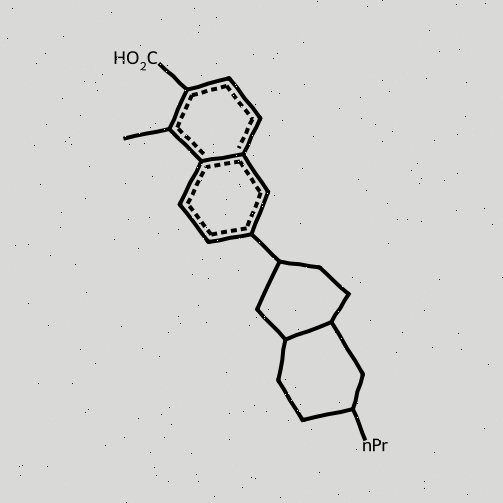 CCCC1CCC2CC(c3ccc4c(C)c(C(=O)O)ccc4c3)CCC2C1